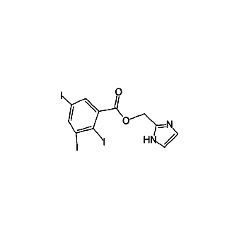 O=C(OCc1ncc[nH]1)c1cc(I)cc(I)c1I